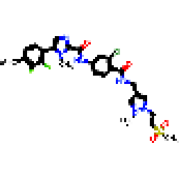 COc1ccc(-c2cnc(C(=O)Nc3ccc(C(=O)NCc4cn(CCS(C)(=O)=O)[n+](C)c4)c(Cl)c3)n2C)c(F)c1F